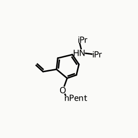 C=Cc1ccccc1OCCCCC.CC(C)NC(C)C